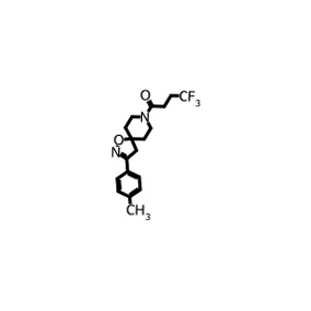 Cc1ccc(C2=NOC3(CCN(C(=O)CCC(F)(F)F)CC3)C2)cc1